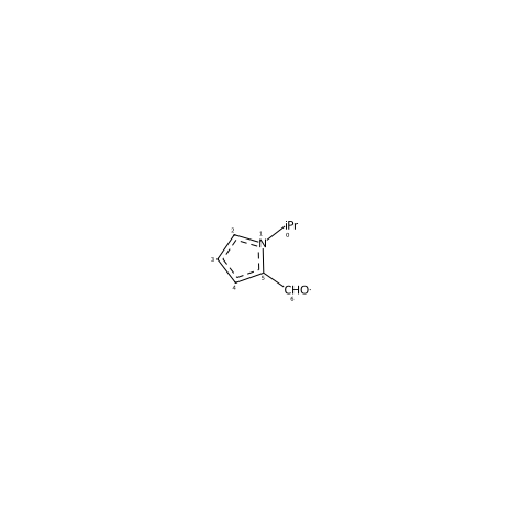 CC(C)n1cccc1[C]=O